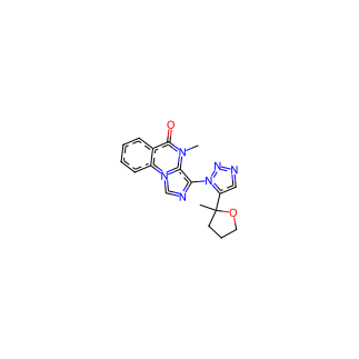 Cn1c(=O)c2ccccc2n2cnc(-n3nncc3C3(C)CCCO3)c12